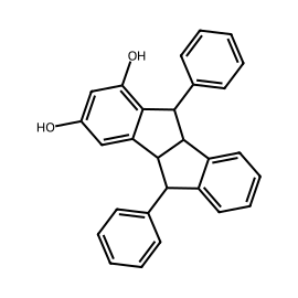 Oc1cc(O)c2c(c1)C1C(c3ccccc3)c3ccccc3C1C2c1ccccc1